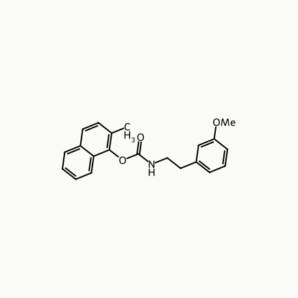 COc1cccc(CCNC(=O)Oc2c(C)ccc3ccccc23)c1